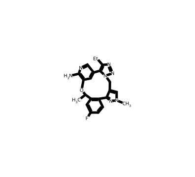 CCc1nnn2c1-c1cnc(N)c(c1)OC(C)c1cc(F)ccc1-c1nn(C)cc1C2